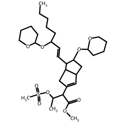 CCCCCC(C=CC1C(OC2CCCCO2)CC2C=C(C(C(=O)OC)C(C)OS(C)(=O)=O)CC21)OC1CCCCO1